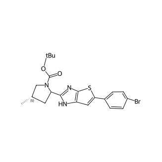 C[C@H]1CC(c2nc3sc(-c4ccc(Br)cc4)cc3[nH]2)N(C(=O)OC(C)(C)C)C1